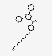 CCCCCCCCOc1ccc(N(C)c2cc(-c3ccccc3)nc(-c3ccccc3)c2)cc1